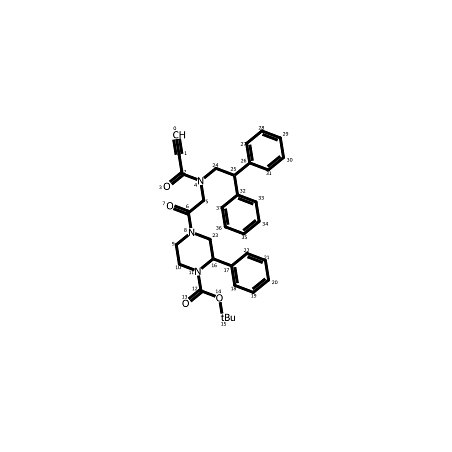 C#CC(=O)N(CC(=O)N1CCN(C(=O)OC(C)(C)C)C(c2ccccc2)C1)CC(c1ccccc1)c1ccccc1